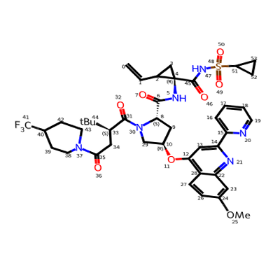 C=CC1C[C@]1(NC(=O)[C@@H]1C[C@@H](Oc2cc(-c3ccccn3)nc3cc(OC)ccc23)CN1C(=O)[C@@H](CC(=O)N1CCC(C(F)(F)F)CC1)C(C)(C)C)C(=O)NS(=O)(=O)C1CC1